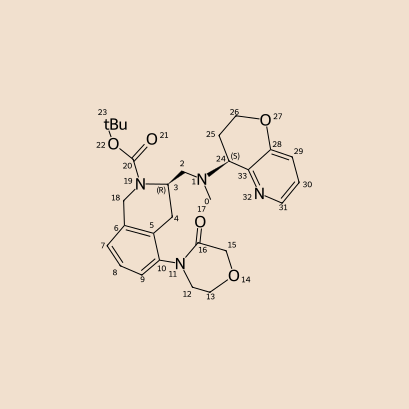 CN(C[C@H]1Cc2c(cccc2N2CCOCC2=O)CN1C(=O)OC(C)(C)C)[C@H]1CCOc2cccnc21